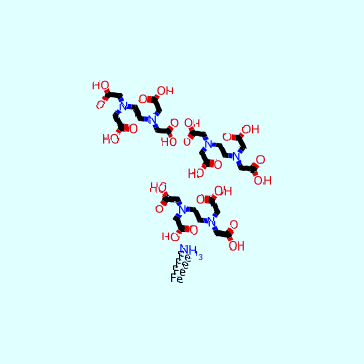 N.O=C(O)CN(CCN(CC(=O)O)CC(=O)O)CC(=O)O.O=C(O)CN(CCN(CC(=O)O)CC(=O)O)CC(=O)O.O=C(O)CN(CCN(CC(=O)O)CC(=O)O)CC(=O)O.[Fe].[Fe].[Fe].[Fe]